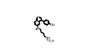 CN(CCCCNC(=O)O)c1ccc2cncc(-c3ccc(O)cc3)c2c1